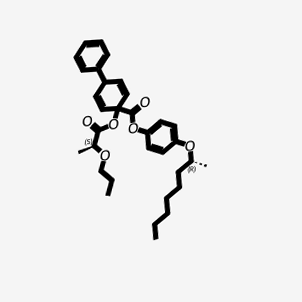 CCCCCC[C@@H](C)Oc1ccc(OC(=O)C2(OC(=O)[C@H](C)OCCC)C=CC(c3ccccc3)C=C2)cc1